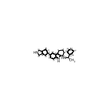 C[C@@H](NC1CCCc2c1[nH]c1ccc(-c3ccc4c(c3)CNC4)cc21)c1ccncc1